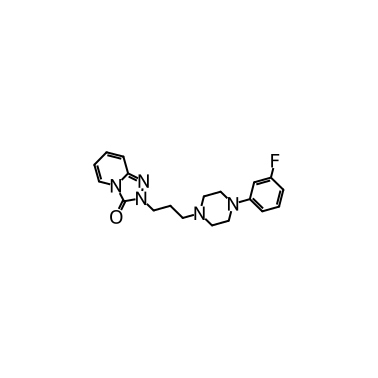 O=c1n(CCCN2CCN(c3cccc(F)c3)CC2)nc2ccccn12